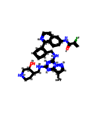 C=C(F)C(=O)Nc1ccc2c(-c3ccccc3CNc3nc(NCC4CCNC[C@H]4O)nc4c(C(C)C)cnn34)nccc2c1